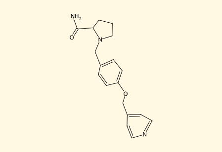 NC(=O)C1CCCN1Cc1ccc(OCc2ccncc2)cc1